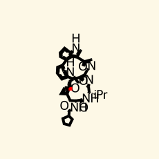 CC(C)[C@@H]1NC(=O)[C@@H](NC(=O)C2CCCC2)Cc2ccc3c(c2)[C@]24c5cccc(c5NC2O3)-c2cccc3[nH]cc(c23)-c2cnc(o2)-c2nc1oc24